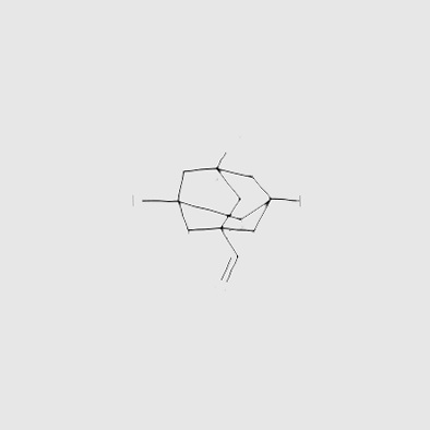 O=CC12CC3(F)CC(F)(CC(F)(C3)C1)C2